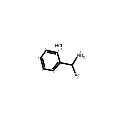 CC(=O)C(N)c1ccccc1.Cl